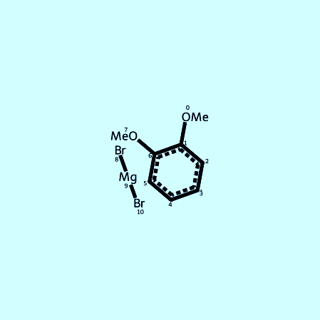 COc1c[c]ccc1OC.[Br][Mg][Br]